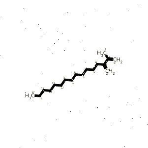 C=C(C)C(=C)CCCCCCCCCCCCC